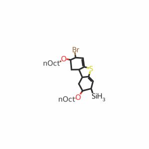 CCCCCCCCOC1CC2C(=CC1[SiH3])SC1=CC(Br)C(OCCCCCCCC)CC12